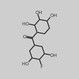 O=C(C1CC(O)C(F)C(O)C1)C1CCC(O)C(O)C1O